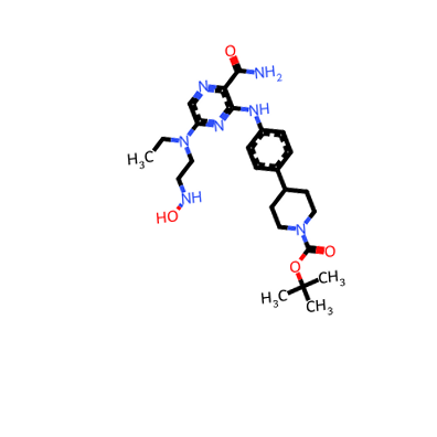 CCN(CCNO)c1cnc(C(N)=O)c(Nc2ccc(C3CCN(C(=O)OC(C)(C)C)CC3)cc2)n1